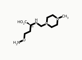 CN1CCN(CN[C@@H](CCON)C(=O)O)CC1